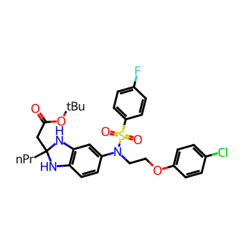 CCCC1(CC(=O)OC(C)(C)C)Nc2ccc(N(CCOc3ccc(Cl)cc3)S(=O)(=O)c3ccc(F)cc3)cc2N1